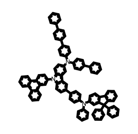 c1ccc(-c2ccc(-c3ccc(N(c4ccc(-c5ccccc5)cc4)c4ccc5c(c4)c4cc(-c6ccc(N(c7ccccc7)c7ccc8c(c7)C(c7ccccc7)(c7ccccc7)c7ccccc7-8)cc6)ccc4n5-c4ccc5c6ccccc6c6ccccc6c5c4)cc3)cc2)cc1